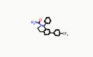 NC(=O)N1CCc2ccc(-c3ccc(C(F)(F)F)cc3)cc2C1c1ccccc1